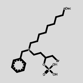 CCCCCCCCCCCCCCCCCCN(CCC(CBr)OP(=O)(O)O)Cc1ccccc1